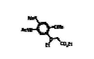 CCOC(=O)CN(CC)c1cc(NC(C)=O)c(NC)cc1OC